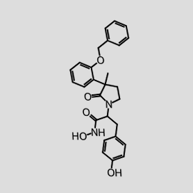 CC1(c2ccccc2OCc2ccccc2)CCN(C(Cc2ccc(O)cc2)C(=O)NO)C1=O